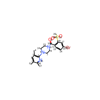 Cc1cc(C)c(N2CCN(C(=O)c3ccc(Br)cc3S(C)(=O)=O)CC2)nc1C